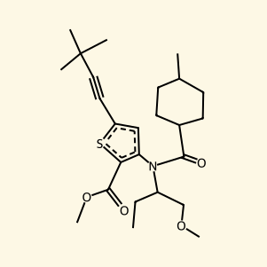 CCC(COC)N(C(=O)C1CCC(C)CC1)c1cc(C#CC(C)(C)C)sc1C(=O)OC